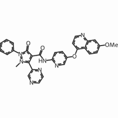 COc1ccc2c(Oc3ccc(NC(=O)c4c(-c5cnccn5)n(C)n(-c5ccccc5)c4=O)nc3)ccnc2c1